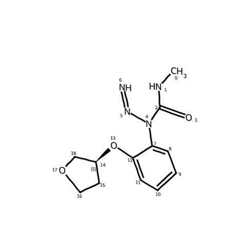 CNC(=O)N(N=N)c1ccccc1O[C@H]1CCOC1